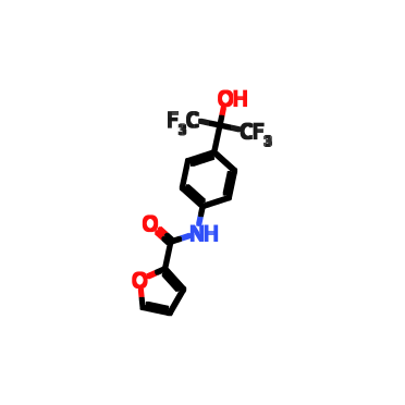 O=C(Nc1ccc(C(O)(C(F)(F)F)C(F)(F)F)cc1)c1ccco1